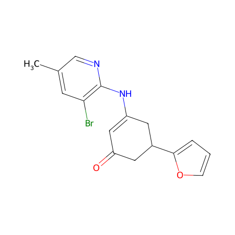 Cc1cnc(NC2=CC(=O)CC(c3ccco3)C2)c(Br)c1